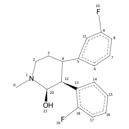 CN1CCC(c2cccc(F)c2)[C@@H](c2ccccc2F)[C@H]1O